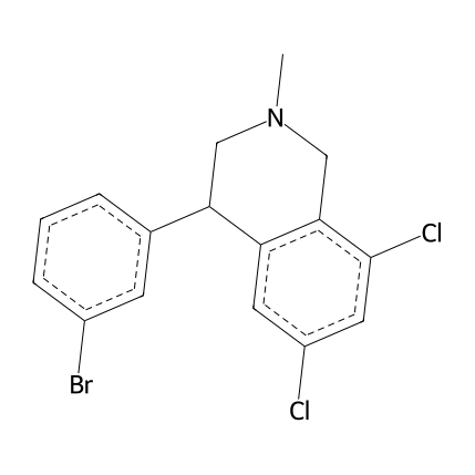 CN1Cc2c(Cl)cc(Cl)cc2C(c2cccc(Br)c2)C1